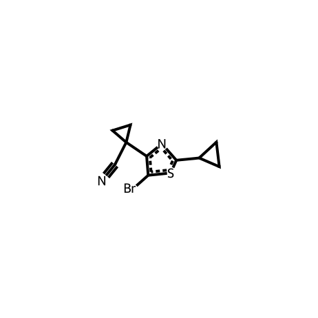 N#CC1(c2nc(C3CC3)sc2Br)CC1